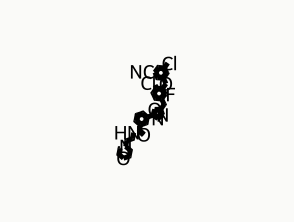 N#Cc1cc(Cl)cc(Oc2c(Cl)ccc(Cc3nnc(-c4cccc(C(=O)NCCN5CCOCC5)c4)o3)c2F)c1